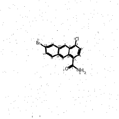 NC(=O)c1ccc(Cl)c2cc3cc(Br)ccc3cc12